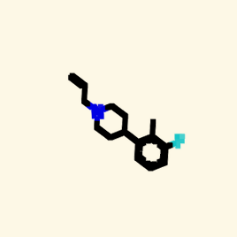 C=CCN1CCC(c2cccc(F)c2C)CC1